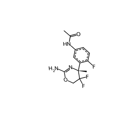 CC(=O)Nc1ccc(F)c([C@@]2(C)N=C(N)OCC2(F)F)c1